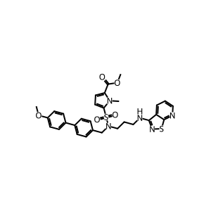 COC(=O)c1ccc(S(=O)(=O)N(CCCNc2nsc3ncccc23)Cc2ccc(-c3ccc(OC)cc3)cc2)n1C